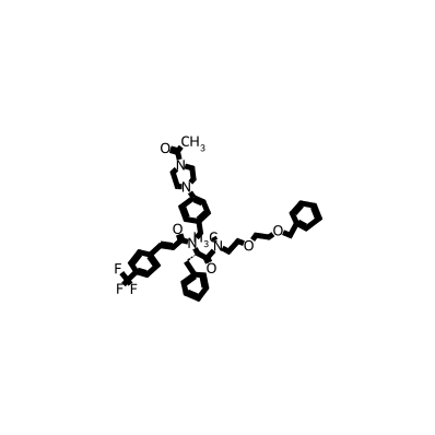 CC(=O)N1CCN(c2ccc(CN(C(=O)/C=C/c3ccc(C(F)(F)F)cc3)[C@@H](Cc3ccccc3)C(=O)N(C)CCOCCOCc3ccccc3)cc2)CC1